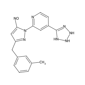 Cc1cccc(Cc2cc(N=O)n(-c3cc(C4=NNNN4)ccn3)n2)c1